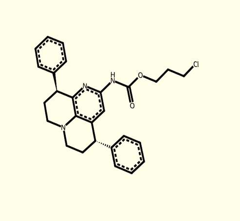 O=C(Nc1cc2c3c(n1)[C@H](c1ccccc1)CCN3CC[C@H]2c1ccccc1)OCCCCl